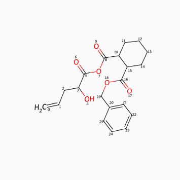 C=CCC(O)C(=O)OC(=O)C1CCCCC1C(=O)OCc1ccccc1